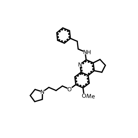 COc1cc2c3c(c(NCCc4ccccc4)nc2cc1OCCCN1CCCC1)CCC3